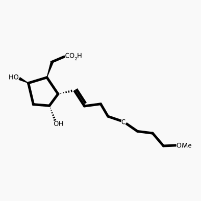 COCCCCCCC=C[C@H]1[C@H](CC(=O)O)[C@H](O)C[C@H]1O